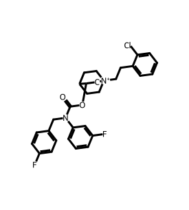 O=C(OC1C[N+]2(CCc3ccccc3Cl)CCC1CC2)N(Cc1ccc(F)cc1)c1cccc(F)c1